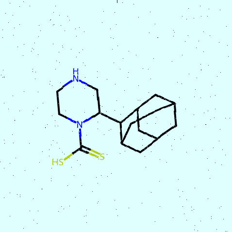 S=C(S)N1CCNCC1C1C2CC3CC(C2)CC1C3